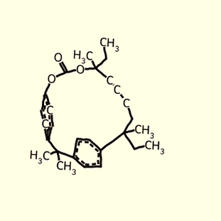 CCC1(C)CCCCC(C)(CC)c2ccc(cc2)C(C)(C)c2ccc(cc2)OC(=O)O1